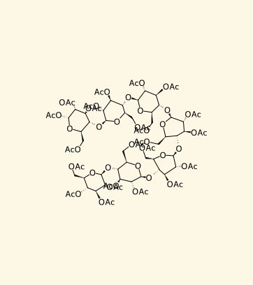 CC(=O)OC[C@H]1O[C@@H](O[C@H]2[C@H](OC(C)=O)[C@@H](OC(C)=O)[C@H](O[C@H]3[C@H](OC(C)=O)[C@@H](OC(C)=O)[C@H](O[C@H]4[C@H](OC(C)=O)[C@@H](OC(C)=O)[C@H](O[C@H]5[C@H](OC(C)=O)[C@@H](OC(C)=O)[C@H](O[C@H]6[C@H](OC(C)=O)[C@@H](OC(C)=O)[C@H](O[C@H]7[C@H](OC(C)=O)[C@@H](OC(C)=O)[C@@H](OC(C)=O)O[C@@H]7COC(C)=O)O[C@@H]6COC(C)=O)O[C@@H]5COC(C)=O)O[C@@H]4COC(C)=O)O[C@@H]3COC(C)=O)O[C@@H]2COC(C)=O)[C@H](OC(C)=O)[C@@H](OC(C)=O)[C@@H]1OC(C)=O